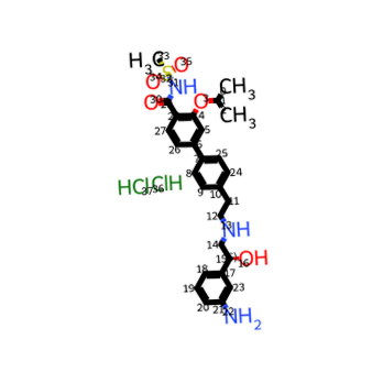 CC(C)Oc1cc(-c2ccc(CCNC[C@@H](O)c3cccc(N)c3)cc2)ccc1C(=O)NS(C)(=O)=O.Cl.Cl